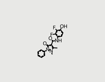 Cc1c(C(=O)Nc2ccc(O)c(F)c2F)c(=O)n(-c2ccccc2)n1C